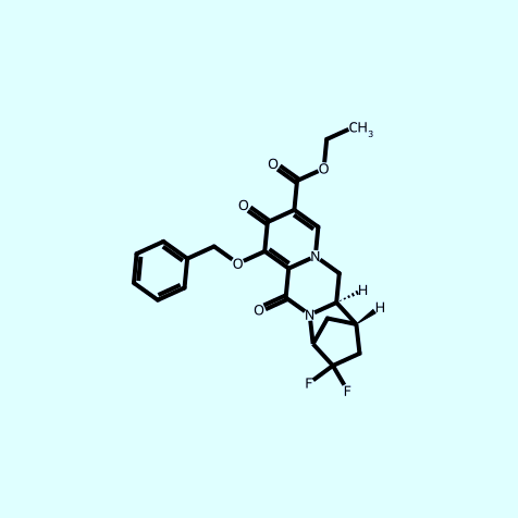 CCOC(=O)c1cn2c(c(OCc3ccccc3)c1=O)C(=O)N1C3C[C@@H](CC3(F)F)[C@@H]1C2